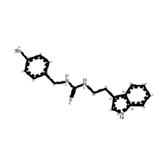 CC(C)(C)c1ccc(CNC(=S)NCCc2c[nH]c3ccccc23)cc1